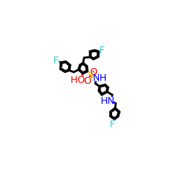 O=S(=O)(NCc1ccc(CNCc2ccc(F)cc2)cc1)c1cc(Cc2ccc(F)cc2)cc(Cc2ccc(F)cc2)c1O